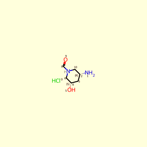 Cl.N[C@@H]1C[C@H](O)CN(C=O)C1